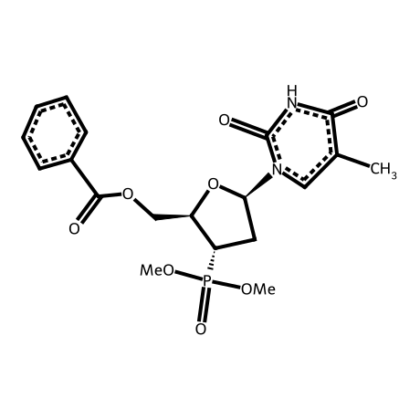 COP(=O)(OC)[C@H]1C[C@H](n2cc(C)c(=O)[nH]c2=O)O[C@@H]1COC(=O)c1ccccc1